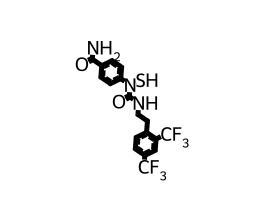 NC(=O)c1ccc(N(S)C(=O)NCCc2ccc(C(F)(F)F)cc2C(F)(F)F)cc1